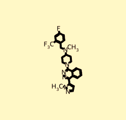 CN(Cc1ccc(F)cc1C(F)(F)F)C1CCN(c2nnc(-c3ccnn3C)c3ccccc23)CC1